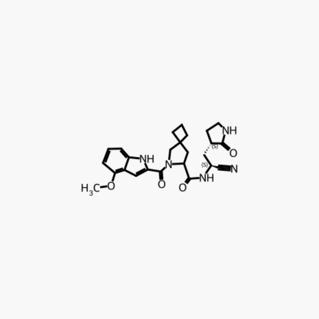 COc1cccc2[nH]c(C(=O)N3CC4(CCC4)CC3C(=O)N[C@H](C#N)C[C@@H]3CCNC3=O)cc12